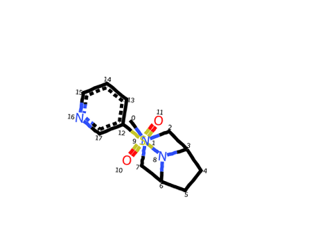 CN1CC2CCC(C1)N2S(=O)(=O)c1cccnc1